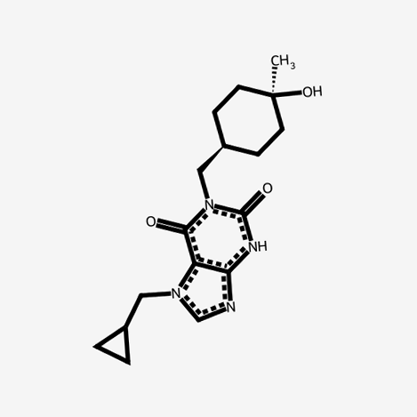 C[C@]1(O)CC[C@@H](Cn2c(=O)[nH]c3ncn(CC4CC4)c3c2=O)CC1